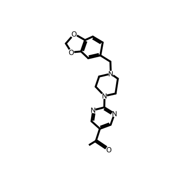 CC(=O)c1cnc(N2CCN(Cc3ccc4c(c3)OCO4)CC2)nc1